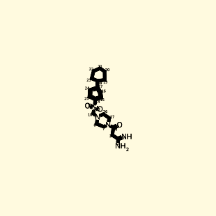 N=C(N)CC(=O)N1CCN(CS(=O)(=O)c2ccc(C3CCCCC3)cc2)CC1